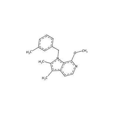 COc1nccc2c(C)c(C)n(Cc3cccc(C)c3)c12